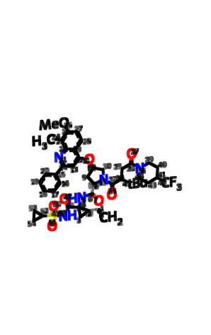 C=C[C@@H]1C[C@]1(NC(=O)[C@@H]1C[C@@H](Oc2cc(-c3ccccc3)nc3c(C)c(OC)ccc23)CN1C(=O)[C@@H](CC(=O)N1CCC(C(F)(F)F)CC1)C(C)(C)C)C(=O)NS(=O)(=O)C1CC1